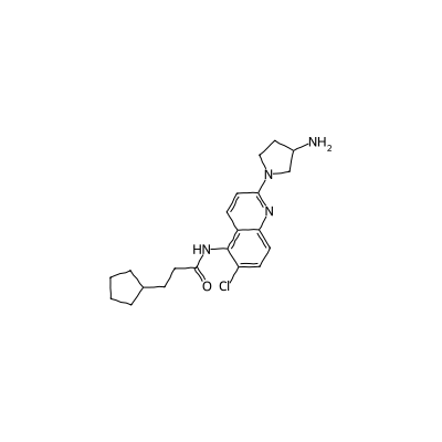 NC1CCN(c2ccc3c(NC(=O)CCC4CCCC4)c(Cl)ccc3n2)C1